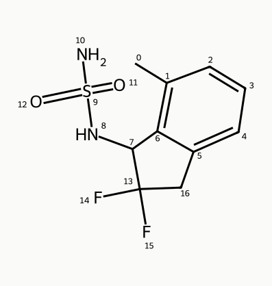 Cc1cccc2c1C(NS(N)(=O)=O)C(F)(F)C2